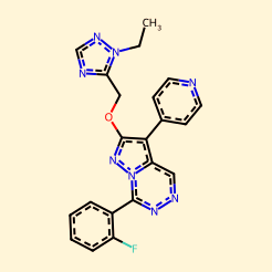 CCn1ncnc1COc1nn2c(-c3ccccc3F)nncc2c1-c1ccncc1